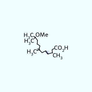 COC(C)(C)CCC[C@H](C)C/C=C/C(C)CC(=O)O